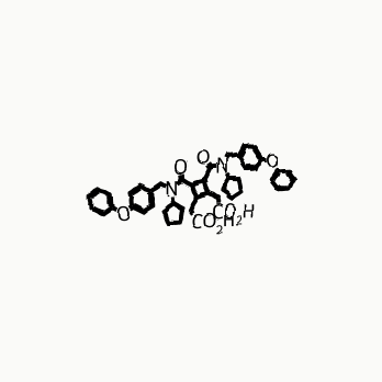 O=C(O)CC1C(CC(=O)O)C(C(=O)N(Cc2ccc(Oc3ccccc3)cc2)C2CCCC2)C1C(=O)N(Cc1ccc(Oc2ccccc2)cc1)C1CCCC1